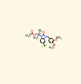 COc1ccc(Cn2c(=O)n(C(C)(C)COC(C)=O)c3ccc(C(F)(F)F)cc32)cc1OC